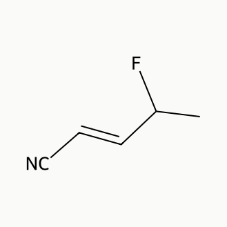 CC(F)C=CC#N